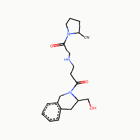 N#CC1CCCN1C(=O)CNCCC(=O)N1Cc2ccccc2CC1CO